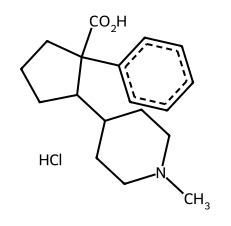 CN1CCC(C2CCCC2(C(=O)O)c2ccccc2)CC1.Cl